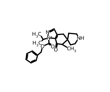 CC1C(=O)C2=C(C=N[N+]2(C(=O)OCc2ccccc2)C(C)C)CC12CCNCC2